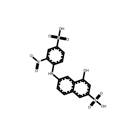 O=[N+]([O-])c1cc(S(=O)(=O)O)ccc1Nc1ccc2cc(S(=O)(=O)O)cc(O)c2c1